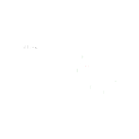 CCCCCC[C@H]1CC[C@H](c2ccc(C(F)(F)Oc3ccccc3-c3cc(F)c(F)c(F)c3)cc2)CC1